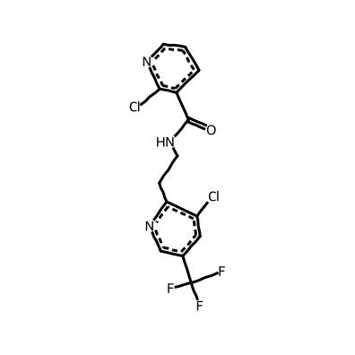 O=C(NCCc1ncc(C(F)(F)F)cc1Cl)c1cccnc1Cl